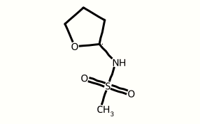 CS(=O)(=O)N[C]1CCCO1